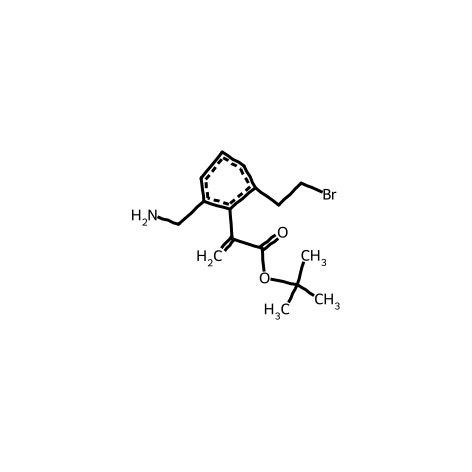 C=C(C(=O)OC(C)(C)C)c1c(CN)cccc1CCBr